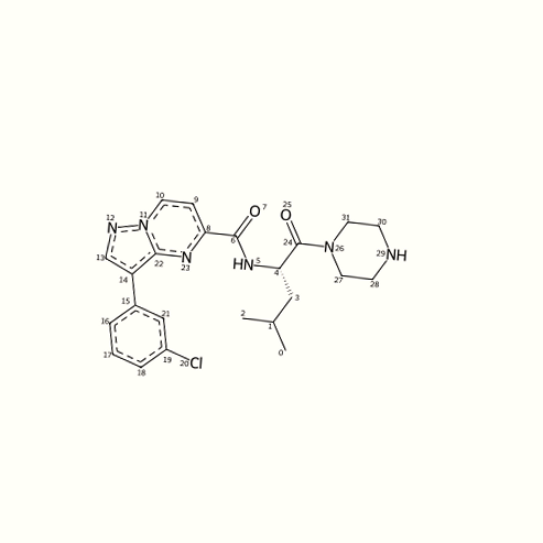 CC(C)C[C@H](NC(=O)c1ccn2ncc(-c3cccc(Cl)c3)c2n1)C(=O)N1CCNCC1